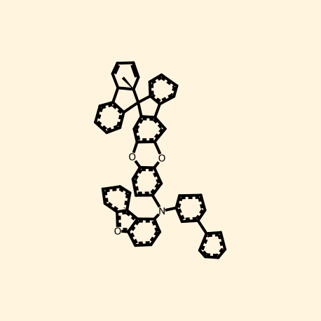 C[C@]12C=CC=CC1c1ccccc1C21c2ccccc2-c2cc3c(cc21)Oc1ccc(N(c2cccc(-c4ccccc4)c2)c2cccc4oc5ccccc5c24)cc1O3